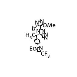 CCn1cc(C(F)(F)F)nc1-c1ccc(C(C)[C@H]2N=C(c3c(OC)ncnc3C3CCC3)N=C3N=NC=C32)cc1